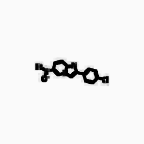 CC[S+]([O-])c1ccc2nc(-c3ccc(Cl)cc3)cn2c1